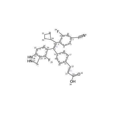 N#Cc1ccc(/C(=C(\c2ccc(/C=C/C(=O)O)cc2)c2ccc3c(c2F)CNN3)C2CCC2)c(F)c1